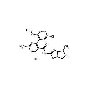 COc1cnc(Cl)cc1-c1cc(C)ncc1C(=O)Nc1nc2c(s1)CNC2C.Cl